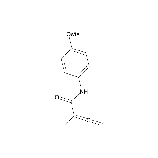 C=C=C(C)C(=O)Nc1ccc(OC)cc1